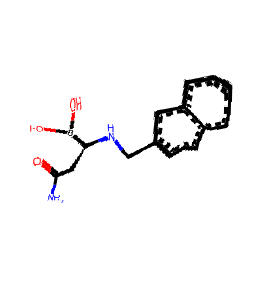 NC(=O)C[C@H](NCc1ccc2ccccc2c1)B(O)O